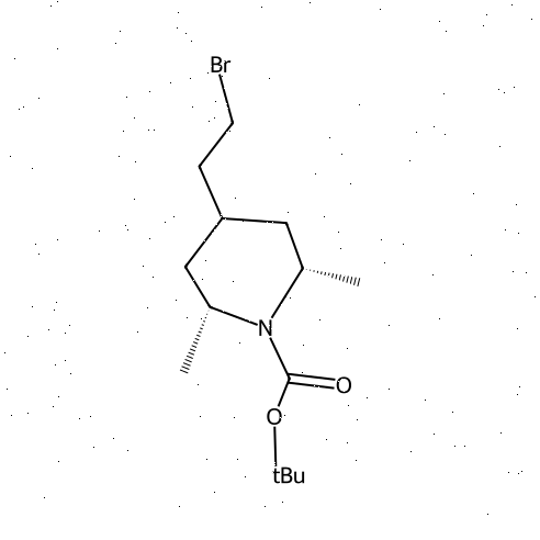 C[C@@H]1CC(CCBr)C[C@H](C)N1C(=O)OC(C)(C)C